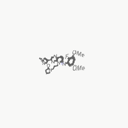 COc1cc(/N=c2\ccc3ncc(-c4cnn(C)c4)nc3n2CCCN2CCCC2=O)c(F)c(OC)c1